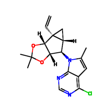 C=C[C@]12C[C@@H]1[C@@H](n1c(C)cc3c(Cl)ncnc31)[C@@H]1OC(C)(C)O[C@@H]12